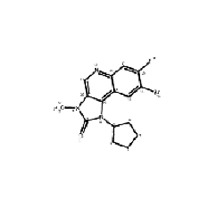 Cn1c(=O)n(C2CCCC2)c2c3cc(Br)c(F)cc3ncc21